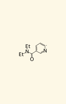 CCN(CC)C(=O)c1cc[c]nc1